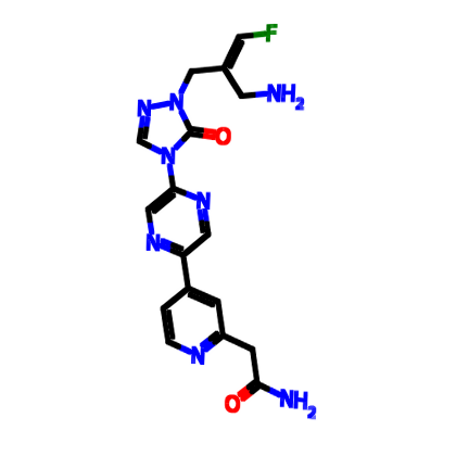 NC/C(=C\F)Cn1ncn(-c2cnc(-c3ccnc(CC(N)=O)c3)cn2)c1=O